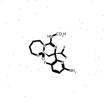 Nc1ccc(F)c([C@]2(C(F)F)C[S@@]3(=O)=NCCCCN3C(NC(=O)O)=N2)n1